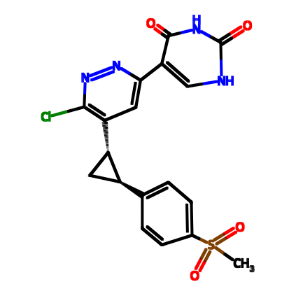 CS(=O)(=O)c1ccc([C@H]2C[C@@H]2c2cc(-c3c[nH]c(=O)[nH]c3=O)nnc2Cl)cc1